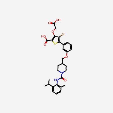 Cc1cccc(C(C)C)c1NC(=O)N1CCC(COc2cccc(-c3sc(C(=O)O)c(OCC(=O)O)c3Br)c2)CC1